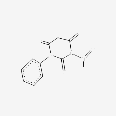 O=C1CC(=O)N([N+](=O)[O-])C(=O)N1c1ccccc1